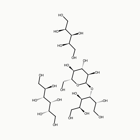 OC[C@@H](O)[C@@H](O)[C@H](O)[C@@H](O)CO.OC[C@@H](O)[C@@H](O[C@H]1O[C@H](CO)[C@@H](O)[C@H](O)[C@H]1O)[C@H](O)[C@@H](O)CO.OC[C@@H](O)[C@H](O)[C@@H](O)CO